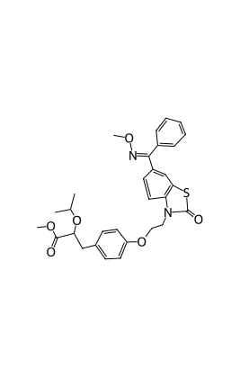 CON=C(c1ccccc1)c1ccc2c(c1)sc(=O)n2CCOc1ccc(CC(OC(C)C)C(=O)OC)cc1